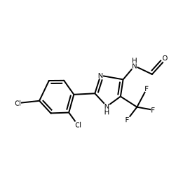 O=CNc1nc(-c2ccc(Cl)cc2Cl)[nH]c1C(F)(F)F